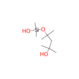 CC(C)(O)CC(C)(C)O[Si](C)(C)O